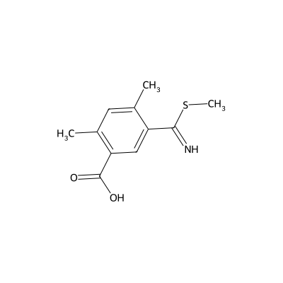 CSC(=N)c1cc(C(=O)O)c(C)cc1C